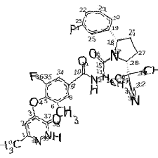 Cc1cc(Oc2c(C)cc(C(=O)NC(C)C(=O)N3[C@H](c4cccc(F)c4)CC[C@@H]3C(C)(C)C#N)cc2F)c(=O)[nH]n1